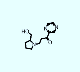 O=C(CCN1CCCC1CO)c1cnccn1